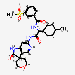 CC1CCC([C@H](NC(=O)c2cccc(S(C)(=O)=O)c2)C(=O)Nc2cc3c(cn2)C2(CCOCC2)C(=O)N3)CC1